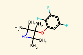 BC1(B)NC(B)(B)C1(B)Oc1cc(F)cc(F)c1F